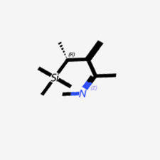 C=C(/C(C)=N\C)[C@@H](C)[Si](C)(C)C